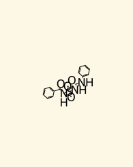 O=C(Nc1ccccc1)NS(=O)(=O)NC(=O)c1ccccc1